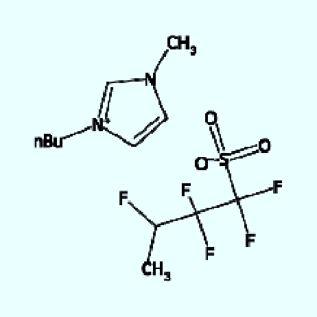 CC(F)C(F)(F)C(F)(F)S(=O)(=O)[O-].CCCC[n+]1ccn(C)c1